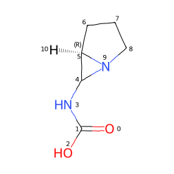 O=C(O)NC1[C@H]2CCCN12